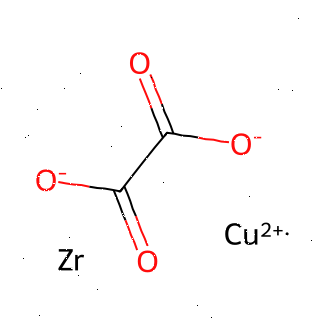 O=C([O-])C(=O)[O-].[Cu+2].[Zr]